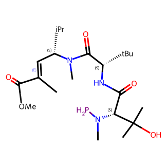 COC(=O)/C(C)=C/[C@H](C(C)C)N(C)C(=O)[C@@H](NC(=O)[C@@H](N(C)P)C(C)(C)O)C(C)(C)C